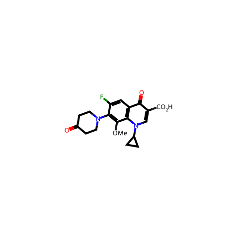 COc1c(N2CCC(=O)CC2)c(F)cc2c(=O)c(C(=O)O)cn(C3CC3)c12